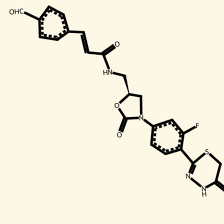 O=Cc1ccc(C=CC(=O)NC[C@H]2CN(c3ccc(C4=NNC(=O)CS4)c(F)c3)C(=O)O2)cc1